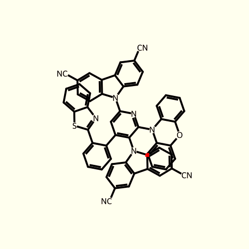 N#Cc1ccc2c(c1)c1cc(C#N)ccc1n2-c1cc(-c2ccccc2-c2nc3ccccc3s2)c(-n2c3ccc(C#N)cc3c3cc(C#N)ccc32)c(N2c3ccccc3Oc3ccccc32)n1